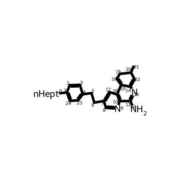 CCCCCCCc1ccc(CCc2cnc3c(N)nc4c(c3c2)=CCC(C)C=4)cc1